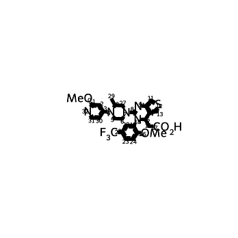 COc1cc(N2CCN(C3=Nc4cscc4C(CC(=O)O)N3c3cc(C(F)(F)F)ccc3OC)CC2C)ccn1